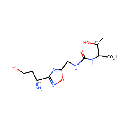 C[C@@H](O)[C@H](NC(=O)NCc1nc([C@@H](N)CCO)no1)C(=O)O